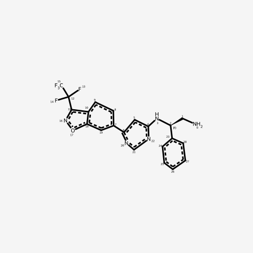 NC[C@H](Nc1cc(-c2ccc3c(C(F)(F)C(F)(F)F)noc3c2)ncn1)c1ccccc1